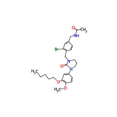 CCCCCOc1cc(N2CCCN(Cc3ccc(CNC(C)=O)cc3Br)C2=O)ccc1OC